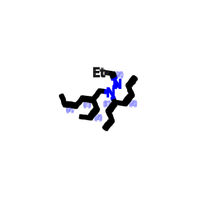 C=C/C=C\C(=C/C=C)N(CC(/C=C\C)=C/C=C\C)/N=C\CC